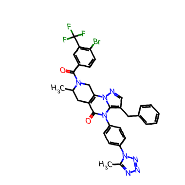 Cc1nnnn1-c1ccc(-n2c(=O)c3c(n4ncc(Cc5ccccc5)c24)CN(C(=O)c2ccc(Br)c(C(F)(F)F)c2)C(C)C3)cc1